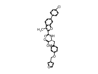 COC(=O)[C@H](Cc1ccc(OCc2ccoc2)cc1)NC(=O)c1oc2cc(-c3ccc(Cl)cc3)ccc2c1C